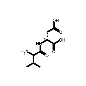 CC(C)C(N)C(=O)N[C@H](CC(=O)O)C(=O)O